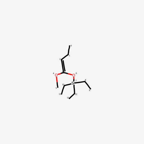 CCC=C(OC)O[Si](CC)(CC)CC